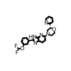 FC(F)Oc1cccc(-c2nc3ccc(N4CCO[C@@H](c5ccccn5)C4)nc3[nH]2)c1